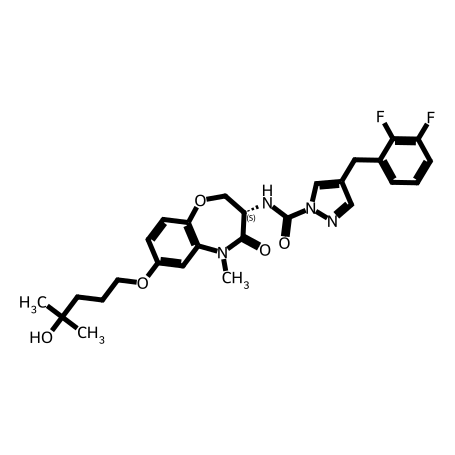 CN1C(=O)[C@@H](NC(=O)n2cc(Cc3cccc(F)c3F)cn2)COc2ccc(OCCCC(C)(C)O)cc21